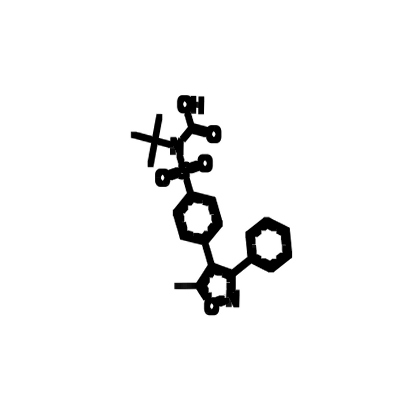 Cc1onc(-c2ccccc2)c1-c1ccc(S(=O)(=O)N(C(=O)O)C(C)(C)C)cc1